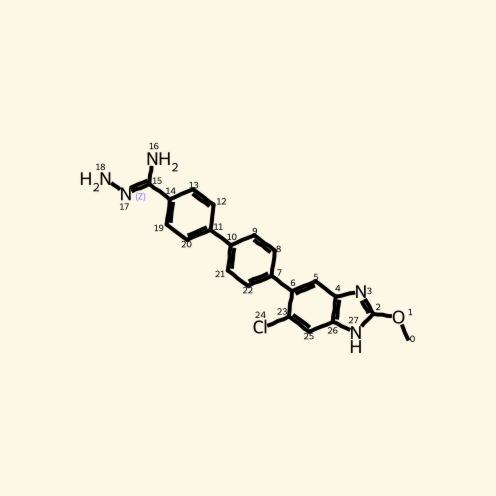 COc1nc2cc(-c3ccc(-c4ccc(/C(N)=N/N)cc4)cc3)c(Cl)cc2[nH]1